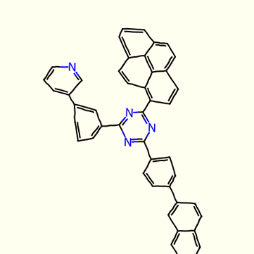 c1cncc(-c2cccc(-c3nc(-c4ccc(-c5ccc6ccccc6c5)cc4)nc(-c4ccc5ccc6cccc7ccc4c5c67)n3)c2)c1